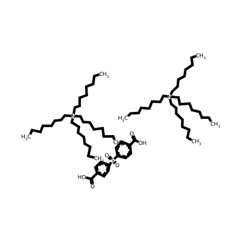 CCCCCCCC[N+](CCCCCCCC)(CCCCCCCC)CCCCCCCC.CCCCCCCC[N+](CCCCCCCC)(CCCCCCCC)CCCCCCCC.O=C(O)c1ccc(S(=O)(=O)c2ccc(C(=O)O)cc2)cc1